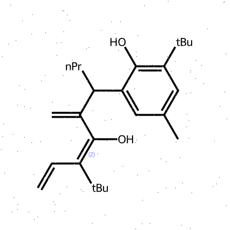 C=C/C(=C(/O)C(=C)C(CCC)c1cc(C)cc(C(C)(C)C)c1O)C(C)(C)C